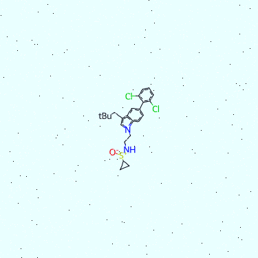 CC(C)(C)Cc1cn(CCN[S+]([O-])C2CC2)c2ccc(-c3c(Cl)cccc3Cl)cc12